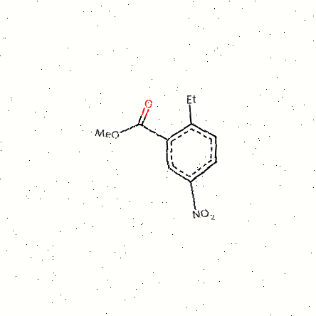 CCc1ccc([N+](=O)[O-])cc1C(=O)OC